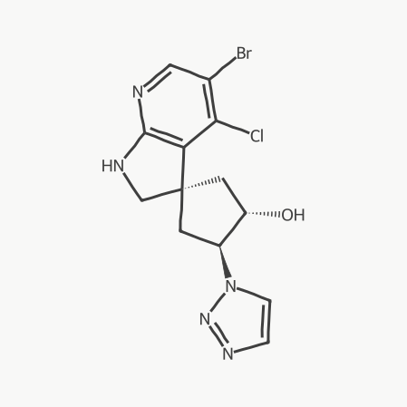 O[C@H]1C[C@@]2(CNc3ncc(Br)c(Cl)c32)C[C@@H]1n1ccnn1